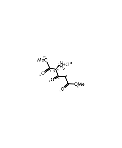 COC(=O)CC(=O)[C@H](N)C(=O)OC.Cl